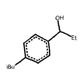 CCC(C)c1ccc(C(O)CC)cc1